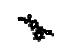 Cn1cc(C2CCN(C(=O)OC(C)(C)C)CC2)c2ccccc21